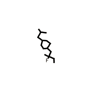 CCC(C)(F)CC1CCC(CC(C)C)CC1